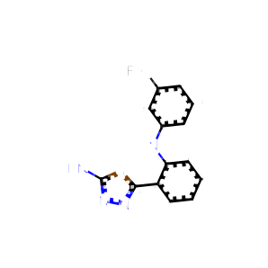 Nc1nnc(-c2ccccc2Nc2cccc(C(F)(F)F)c2)s1